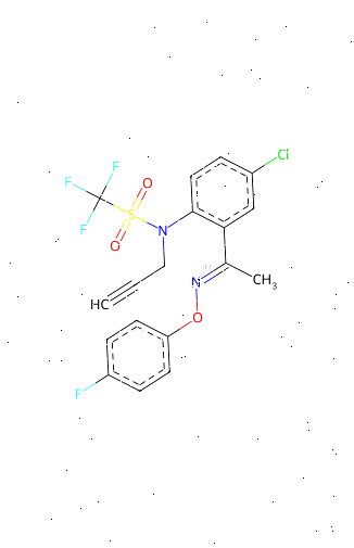 C#CCN(c1ccc(Cl)cc1/C(C)=N/Oc1ccc(F)cc1)S(=O)(=O)C(F)(F)F